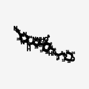 COc1cc(CN[C@H](C)CN2CCOCC2)ccc1-c1cc(Nc2cnc(C#N)cn2)n[nH]1